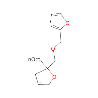 CCCCCCCCC1(COCc2ccco2)CC=CO1